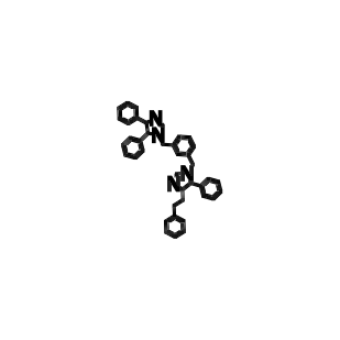 C1=NC(CCc2ccccc2)C(c2ccccc2)N1Cc1cccc(CN2C=NC(c3ccccc3)C2c2ccccc2)c1